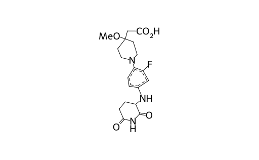 COC1(CC(=O)O)CCN(c2ccc(NC3CCC(=O)NC3=O)cc2F)CC1